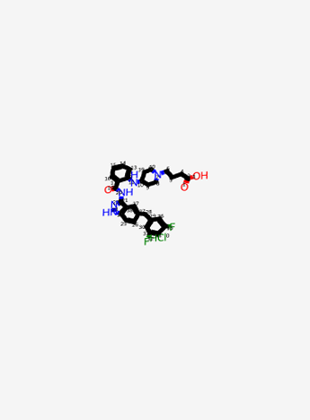 Cl.O=C(O)CCCN1CCC(Nc2ccccc2C(=O)Nc2n[nH]c3ccc(Cc4cc(F)cc(F)c4)cc23)CC1